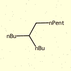 [CH2]CCCC(CCCC)CCCCCC